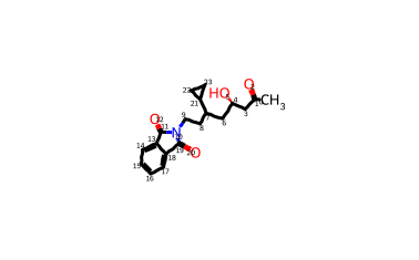 CC(=O)C[C@H](O)CC(CCN1C(=O)c2ccccc2C1=O)C1CC1